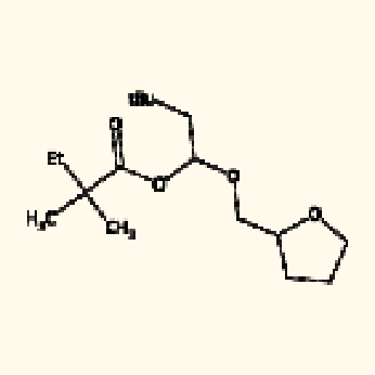 CCC(C)(C)C(=O)OC(CC(C)(C)C)OCC1CCCO1